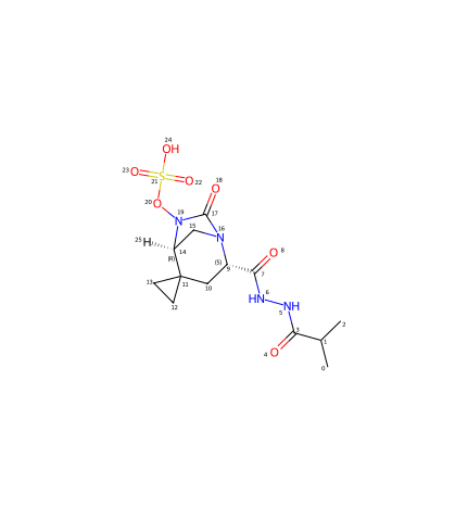 CC(C)C(=O)NNC(=O)[C@@H]1CC2(CC2)[C@@H]2CN1C(=O)N2OS(=O)(=O)O